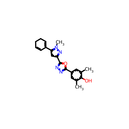 Cc1cc(-c2nnc(-c3cc(C4=CCCC=C4)n(C)n3)o2)cc(C)c1O